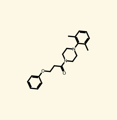 Cc1cccc(C)c1N1CCN(C(=O)CCOc2ccccc2)CC1